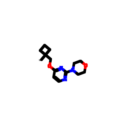 [CH2]C1(COc2ccnc(N3CCOCC3)n2)CCC1